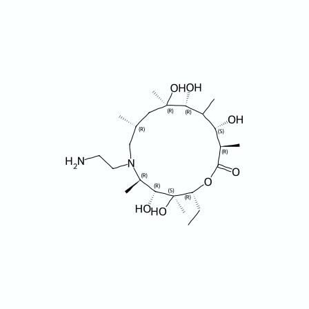 CC[C@H]1OC(=O)[C@H](C)[C@@H](O)C(C)[C@@H](O)[C@](C)(O)C[C@@H](C)CN(CCN)[C@H](C)[C@@H](O)[C@]1(C)O